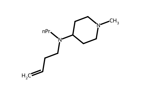 C=CCCN(CCC)C1CCN(C)CC1